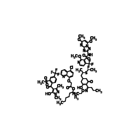 CCC/C(=N/OCC)C1=C(O)CC(CC(C)SCC)CC1=O.CCCCCC(C)OC(=O)COc1ccc(Cl)c2cccnc12.COc1cc(OC)n2nc(NS(=O)(=O)c3c(C(F)(F)F)ccnc3OC)nc2n1.Cc1nn(C)c(O)c1C(=O)c1ccc(C(F)(F)F)cc1S(C)(=O)=O